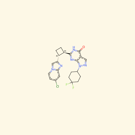 O=c1[nH]c([C@@H]2CC[C@H]2c2cn3ccc(Cl)cc3n2)nc2c1cnn2C1CCC(F)(F)CC1